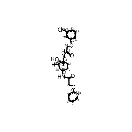 O=C(COc1ccccn1)NC12CCC(NC(=O)COc3cccc(Cl)c3)(CC1)[C@@H](O)C2